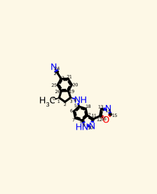 C[C@@H]1C[C@H](Nc2ccc3[nH]nc(-c4cnco4)c3c2)c2ccc(C#N)cc21